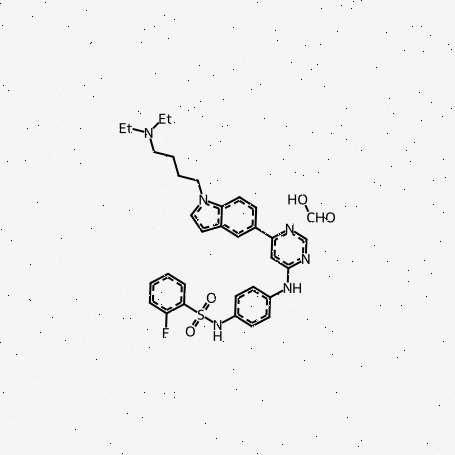 CCN(CC)CCCCn1ccc2cc(-c3cc(Nc4ccc(NS(=O)(=O)c5ccccc5F)cc4)ncn3)ccc21.O=CO